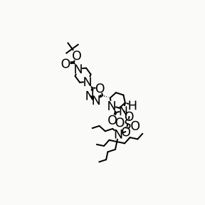 CCCCN(OS(=O)(=O)ON1C(=O)N2C[C@@H]1CC[C@H]2c1nnc(N2CCN(C(=O)OC(C)(C)C)CC2)o1)C(CCC)(CCCC)CCCC